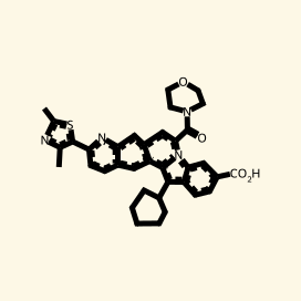 Cc1nc(C)c(-c2ccc3cc4c(cc(C(=O)N5CCOCC5)n5c6cc(C(=O)O)ccc6c(C6CCCCC6)c45)cc3n2)s1